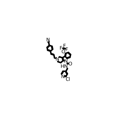 N#Cc1ccc(/C=C/CN2CCc3c(c4c(OC(F)(F)F)cccc4n3C(=O)NCc3ccnc(Cl)c3)C2)cc1